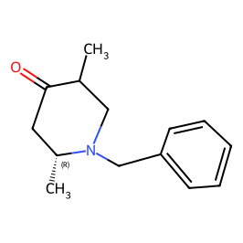 CC1CN(Cc2ccccc2)[C@H](C)CC1=O